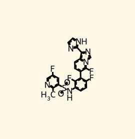 Cc1ncc(F)cc1S(=O)(=O)Nc1ccc(F)c(-c2ccc3c(-c4ncc[nH]4)ncn3c2F)c1F